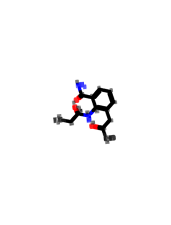 NC(=O)c1cccc(CC(=O)C=O)c1NC(=O)CC(F)(F)F